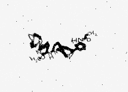 C=CC(=O)Nc1cccc(-c2cc3ccc(Nc4ccc(N5CCOCC5)nc4OC)nc3cn2)c1